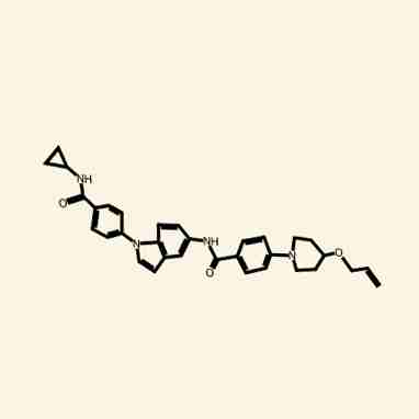 C=CCOC1CCN(c2ccc(C(=O)Nc3ccc4c(ccn4-c4ccc(C(=O)NC5CC5)cc4)c3)cc2)CC1